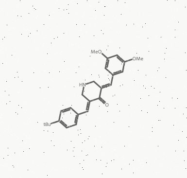 COc1cc(C=C2CNCC(=Cc3ccc(C(C)(C)C)cc3)C2=O)cc(OC)c1